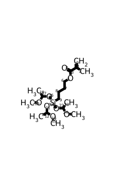 C=C(C)C(=O)OCCCC[Si](OC(C)OC)(OC(C)OC)OC(C)OC